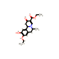 CCOC(=O)C1=CN2C(C)Cc3cc(OCC)c(O)cc3C2CC1=O